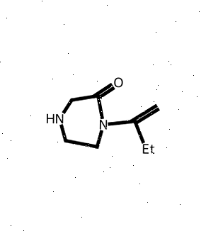 C=C(CC)N1CCNCC1=O